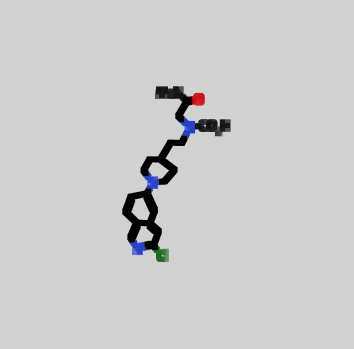 CNC(=O)CN(CCC1CCN(c2ccc3cnc(Cl)cc3c2)CC1)C(=O)O